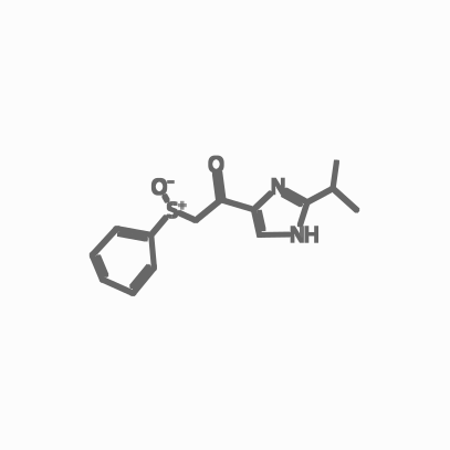 CC(C)c1nc(C(=O)C[S+]([O-])c2ccccc2)c[nH]1